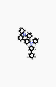 c1ccc(N(c2ccc(C3=CC=CCC3)cc2)C2C=CC(C3CC=Cc4c5c(n(C6=CCCC=C6)c43)CCC=C5)=CC2)cc#1